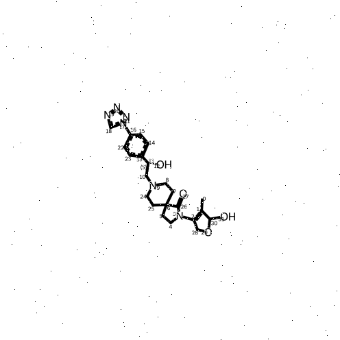 CC1=C(N2CCC3(CCN(C[C@@H](O)c4ccc(-n5cnnn5)cc4)CC3)C2=O)COC1O